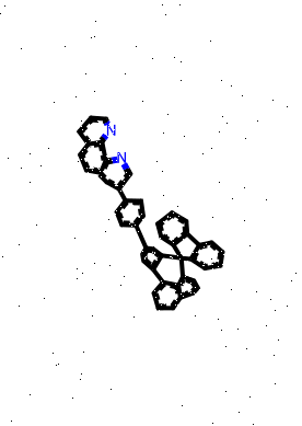 c1ccc2c(c1)-c1ccccc1C21c2cc(-c3ccc(-c4cnc5c(ccc6cccnc65)c4)cc3)ccc2-c2cccc3cccc1c23